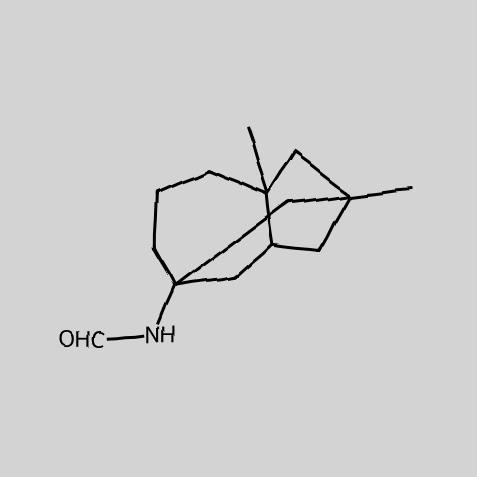 CC12CC3CC(NC=O)(CCCC3(C)C1)C2